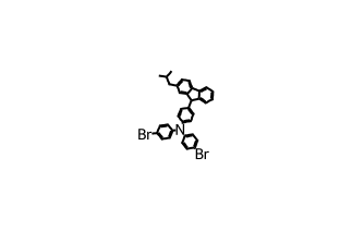 CC(C)Cc1ccc2c(c1)C(c1ccc(N(c3ccc(Br)cc3)c3ccc(Br)cc3)cc1)c1ccccc1-2